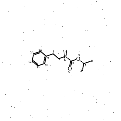 CC(C)OC(=O)NCCc1cc[c]cc1